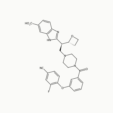 N#Cc1ccc(Oc2cccc(C(=O)N3CCN(C[C@@H](c4nc5ccc(C(=O)O)cc5[nH]4)[C@H]4CCO4)CC3)c2)c(F)c1